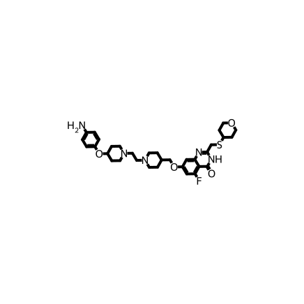 Nc1ccc(OC2CCN(CCN3CCC(COc4cc(F)c5c(=O)[nH]c(CSC6CCOCC6)nc5c4)CC3)CC2)cc1